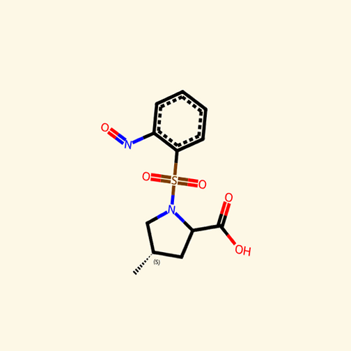 C[C@H]1CC(C(=O)O)N(S(=O)(=O)c2ccccc2N=O)C1